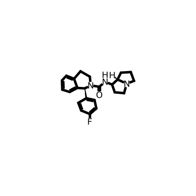 O=C(NC1CCN2CCC[C@H]12)N1CCc2ccccc2[C@@H]1c1ccc(F)cc1